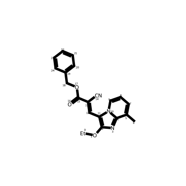 CCOc1nc2c(C)cccn2c1C=C(C#N)C(=O)OCc1ccccc1